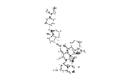 C#Cc1c(F)ccc2cc(O)cc(-c3nc(OC)c4c(N5CCOC[C@@](C)(O)C5)nc(OC[C@]56CCC[C@H]5N(CC5CCN(C(=O)OC(C)C)CC5)CCC6)nc4c3F)c12